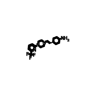 N[C@H]1CC[C@H](CCN2CCN(c3cccc(C(F)(F)F)n3)CC2)CC1